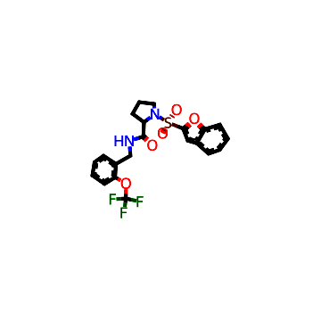 O=C(NCc1ccccc1OC(F)(F)F)C1CCCN1S(=O)(=O)c1cc2ccccc2o1